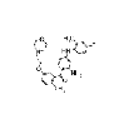 Cc1cc(F)ccc1Nc1ccc(C(=O)c2cc(OCCN3CCOCC3)ccc2C)c(N)c1